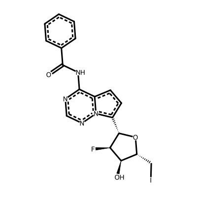 O=C(Nc1ncnn2c([C@@H]3O[C@H](CI)[C@@H](O)[C@H]3F)ccc12)c1ccccc1